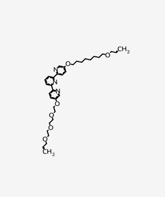 C=CCOCCCCCCCCOc1ccc(-c2cccc(-c3ccc(OCCOCCOCCOCC=C)cn3)n2)nc1